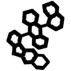 C1=Cc2cc3oc4cccc(-c5c6ccccc6c(-c6cccc7ccccc67)c6ccccc56)c4c3cc2CC1